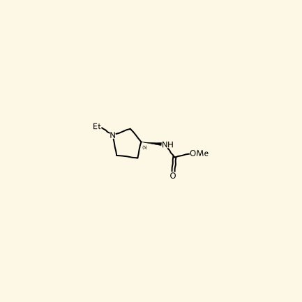 CCN1CC[C@H](NC(=O)OC)C1